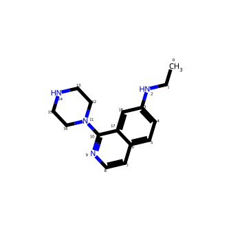 CCNc1ccc2ccnc(N3CCNCC3)c2c1